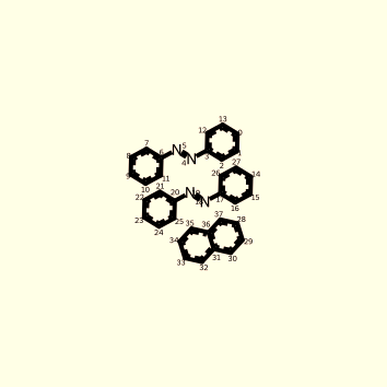 c1ccc(N=Nc2ccccc2)cc1.c1ccc(N=Nc2ccccc2)cc1.c1ccc2ccccc2c1